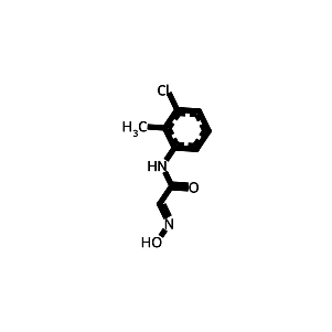 Cc1c(Cl)cccc1NC(=O)C=NO